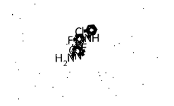 CC1(C)N=C(N)O[C@](C)(c2cc(Nc3ccccc3Cl)ccc2F)C1(F)F